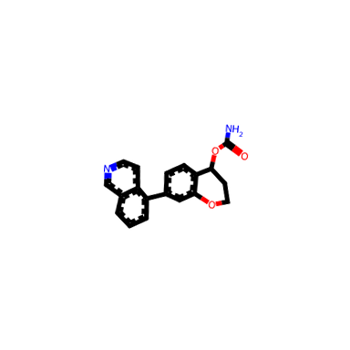 NC(=O)OC1CCOc2cc(-c3cccc4cnccc34)ccc21